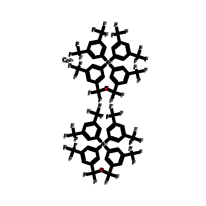 FC(F)(F)c1cc(C(F)(F)F)c[c]([Al-]([c]2cc(C(F)(F)F)cc(C(F)(F)F)c2)([c]2cc(C(F)(F)F)cc(C(F)(F)F)c2)[c]2cc(C(F)(F)F)cc(C(F)(F)F)c2)c1.FC(F)(F)c1cc(C(F)(F)F)c[c]([Al-]([c]2cc(C(F)(F)F)cc(C(F)(F)F)c2)([c]2cc(C(F)(F)F)cc(C(F)(F)F)c2)[c]2cc(C(F)(F)F)cc(C(F)(F)F)c2)c1.[Ca+2]